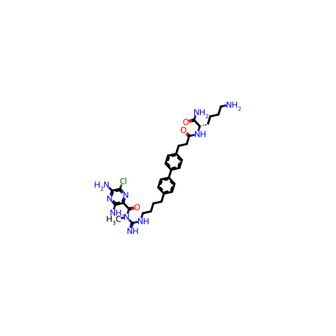 CN(C(=N)NCCCCc1ccc(-c2ccc(CCC(=O)N[C@@H](CCCCN)C(N)=O)cc2)cc1)C(=O)c1nc(Cl)c(N)nc1N